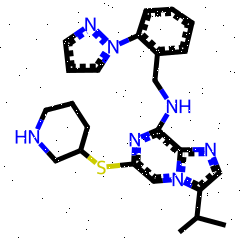 CC(C)c1cnc2c(NCc3ccccc3-n3cccn3)nc(SC3CCCNC3)cn12